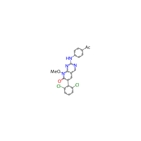 COn1c(=O)c(-c2c(Cl)cccc2Cl)cc2cnc(Nc3ccc(C(C)=O)cc3)nc21